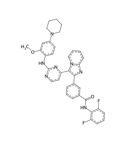 COc1cc(N2CCCCC2)ccc1Nc1nccc(-c2c(-c3cccc(C(=O)Nc4c(F)cccc4F)c3)nc3ccccn23)n1